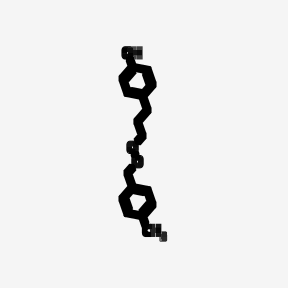 Cc1ccc(COOCCCc2ccc(O)cc2)cc1